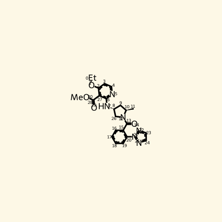 CCOc1ccnc(N[C@@H]2C[C@@H](C)N(C(=O)c3ccccc3-n3nccn3)C2)c1C(=O)OC